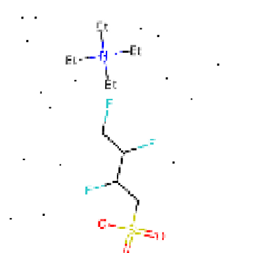 CC[N+](CC)(CC)CC.O=S(=O)([O-])CC(F)C(F)CF